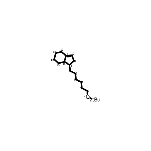 CC(C)(C)OCCCCCCC1CC=C2CCCCC21